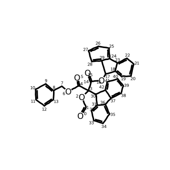 O=[C]OC(C(=O)OCc1ccccc1)(C(=O)OC1c2ccccc2-c2ccccc21)C1c2ccccc2-c2ccccc21